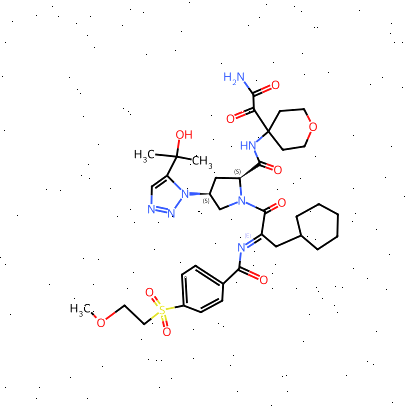 COCCS(=O)(=O)c1ccc(C(=O)/N=C(\CC2CCCCC2)C(=O)N2C[C@@H](n3nncc3C(C)(C)O)C[C@H]2C(=O)NC2(C(=O)C(N)=O)CCOCC2)cc1